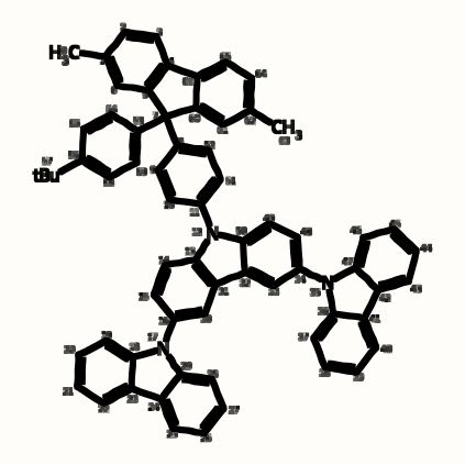 Cc1ccc2c(c1)C(c1ccc(-n3c4ccc(-n5c6ccccc6c6ccccc65)cc4c4cc(-n5c6ccccc6c6ccccc65)ccc43)cc1)(c1ccc(C(C)(C)C)cc1)c1cc(C)ccc1-2